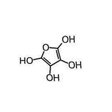 Oc1oc(O)c(O)c1O